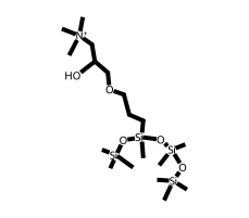 C[N+](C)(C)CC(O)COCCC[Si](C)(O[Si](C)(C)C)O[Si](C)(C)O[Si](C)(C)C